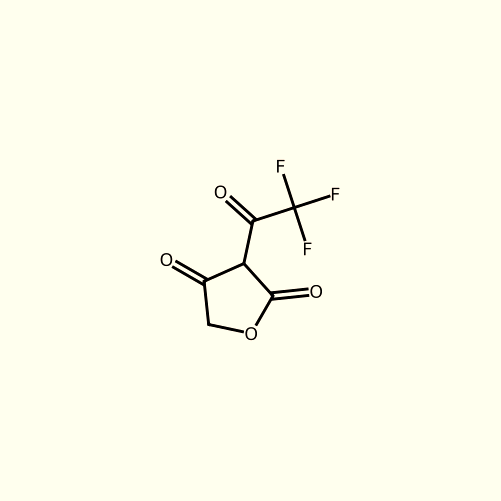 O=C1COC(=O)C1C(=O)C(F)(F)F